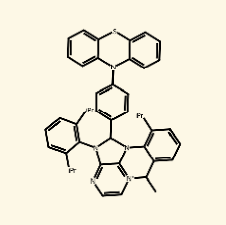 CC(C)c1cccc(C(C)C)c1N1c2ncc[n+]3c2N(c2c(C(C)C)cccc2C3C)C1c1ccc(N2c3ccccc3Sc3ccccc32)cc1